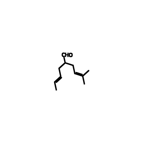 CC=CCC(C=O)CC=C(C)C